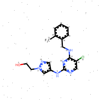 OCCn1cc(Nc2ncc(Cl)c(NCc3ccccc3C(F)(F)F)n2)cn1